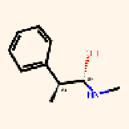 CN[C@@H](O)[C@@H](C)c1ccccc1